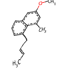 CC=CCc1cccc2cc(OC)cc(C)c12